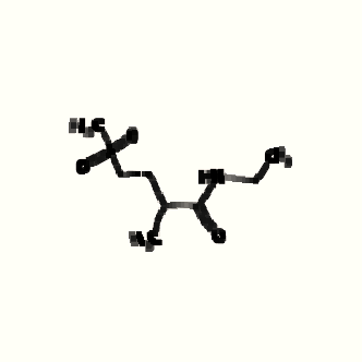 CCNC(=O)C(C)CCS(C)(=O)=O